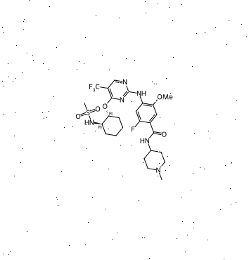 COc1cc(C(=O)NC2CCN(C)CC2)c(F)cc1Nc1ncc(C(F)(F)F)c(O[C@@H]2CCCC[C@H]2NS(C)(=O)=O)n1